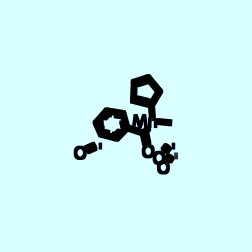 [CH3][Mn]([C](=O)c1ccccc1)[C]1=CC=CC1.[C]=O.[C]=O.[C]=O